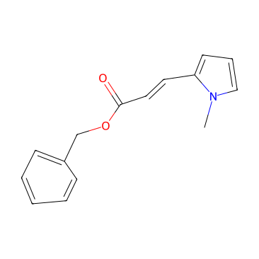 Cn1cccc1C=CC(=O)OCc1ccccc1